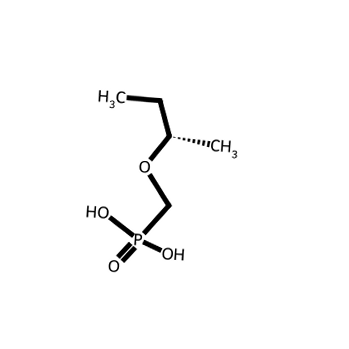 CC[C@H](C)OCP(=O)(O)O